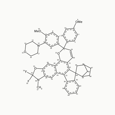 COc1ccc(C2(c3ccc(OC)c(N4CCOCC4)c3)C=Cc3c4c(c5cc6c(cc5c3O2)OC(F)(F)N6C)-c2ccccc2C42CC3CCC2C3)cc1